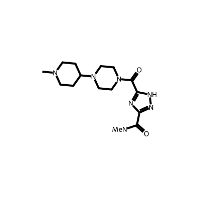 CNC(=O)c1n[nH]c(C(=O)N2CCN(C3CCN(C)CC3)CC2)n1